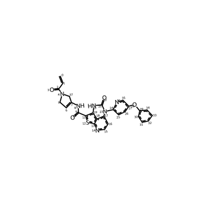 C=CC(=O)N1CC=C(NC(=O)c2sc3nccc4c3c2NC(=O)N4c2ccc(Oc3ccccc3)cn2)C1